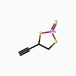 C#CC1CS[PH](=S)S1